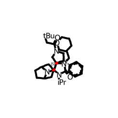 CC(C)N1C(=O)N(CC2CCCOC2)CC12CC1CCC(C2)N1C[C@H]1CN(C(=O)CC(C)(C)C)C[C@@H]1c1ccccc1